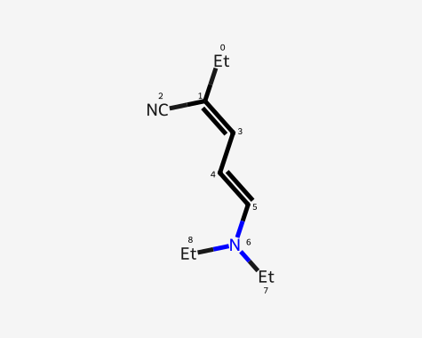 CCC(C#N)=CC=CN(CC)CC